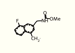 [CH2]c1cc(CNC(=O)OC)cc2c(F)cccc12